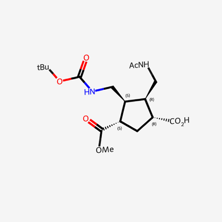 COC(=O)[C@H]1C[C@@H](C(=O)O)[C@H](CNC(C)=O)[C@@H]1CNC(=O)OC(C)(C)C